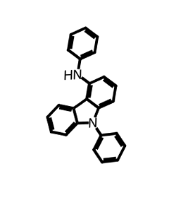 c1ccc(Nc2cccc3c2c2ccccc2n3-c2ccccc2)cc1